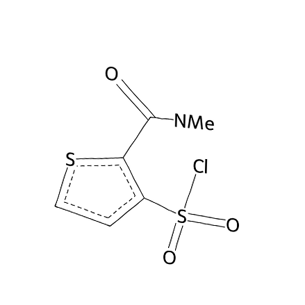 CNC(=O)c1sccc1S(=O)(=O)Cl